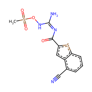 CS(=O)(=O)ONC(N)=NC(=O)c1cc2c(C#N)cccc2s1